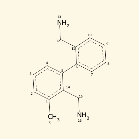 Cc1cccc(-c2ccccc2CN)c1CN